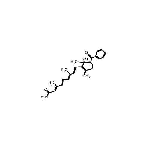 CC1=C(/C=C/C(C)=C/C=C/C(C)=C/C(N)=O)C(C)(C)C(C(=O)c2ccccc2)CC1